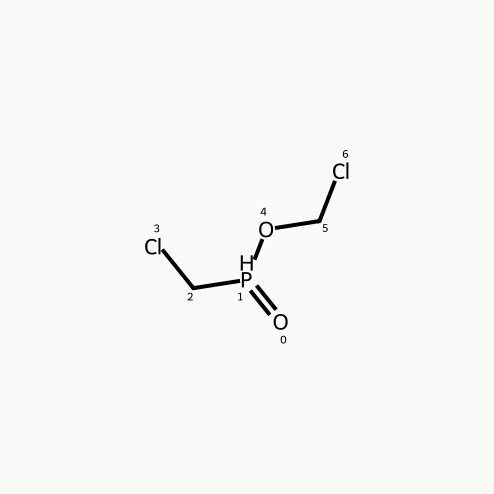 O=[PH](CCl)OCCl